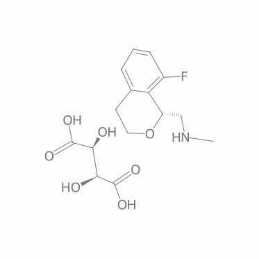 CNC[C@@H]1OCCc2cccc(F)c21.O=C(O)[C@@H](O)[C@H](O)C(=O)O